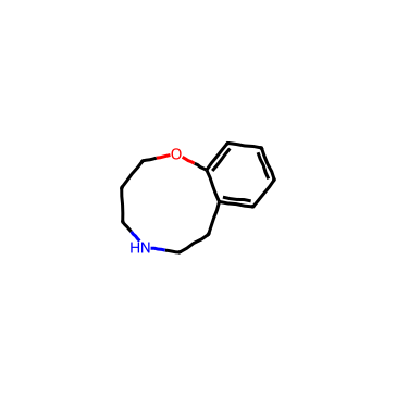 c1ccc2c(c1)CCNCCCO2